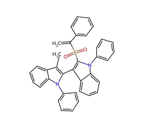 C=C(c1ccccc1)S(=O)(=O)c1c(-c2c(C)c3ccccc3n2-c2ccccc2)c2ccccc2n1-c1ccccc1